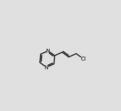 ClCC=Cc1cnccn1